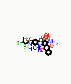 Cc1cc(C)c(Nc2cc(S(=O)(=O)O)c(N)c3c2C(=O)c2ccccc2C3=O)c(C)c1NC(=O)C(Br)CBr